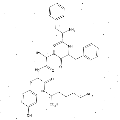 CC(C)C(NC(=O)C(Cc1ccccc1)NC(=O)C(N)Cc1ccccc1)C(=O)NC(Cc1ccc(O)cc1)C(=O)NC(CCCCN)C(=O)O